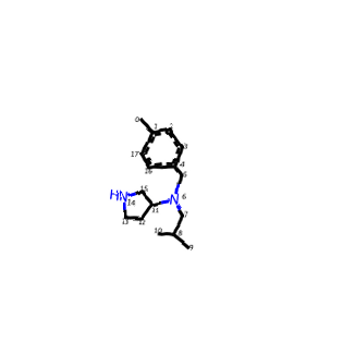 Cc1ccc(CN(CC(C)C)C2CCNC2)cc1